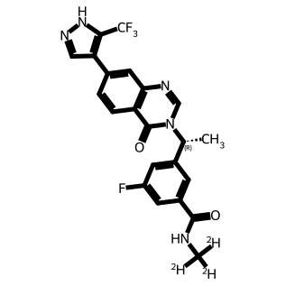 [2H]C([2H])([2H])NC(=O)c1cc(F)cc([C@@H](C)n2cnc3cc(-c4cn[nH]c4C(F)(F)F)ccc3c2=O)c1